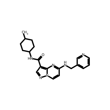 CC1CCC(NC(=O)c2cnn3ccc(NCc4cccnc4)nc23)CC1